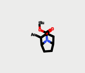 CC(=O)C1CCC2CCC1N2C(=O)OC(C)(C)C